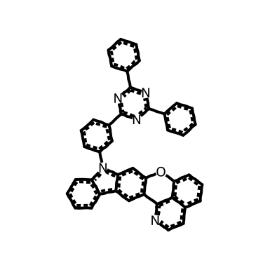 c1ccc(-c2nc(-c3ccccc3)nc(-c3cccc(-n4c5ccccc5c5cc6c(cc54)Oc4cccc5ccnc-6c45)c3)n2)cc1